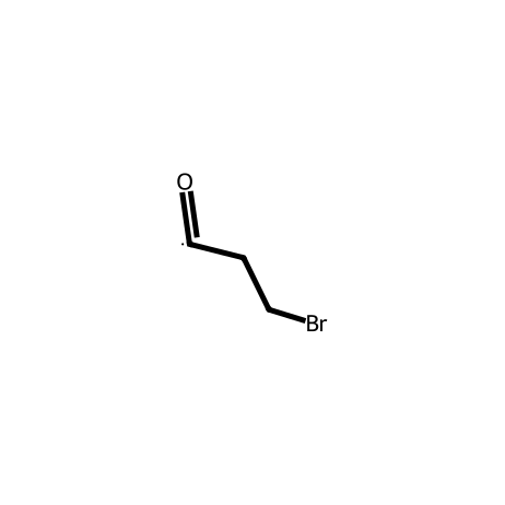 O=[C]CCBr